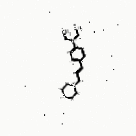 CCN(CC)c1ccc(C=CCN2CCOCC2)cc1